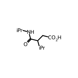 CC(C)NC(=O)C(CC(=O)O)C(C)C